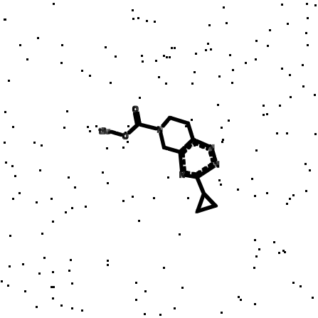 CC(C)(C)OC(=O)N1CCc2nnc(C3CC3)nc2C1